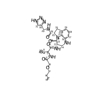 CC[C@H](C)[C@H](NC(=O)COCCF)C(=O)N[C@H]1CNc2cccc3c2N(C1=O)[C@H](C(=O)NCc1c[nH]nn1)C3